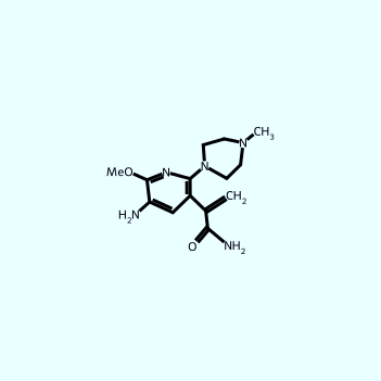 C=C(C(N)=O)c1cc(N)c(OC)nc1N1CCN(C)CC1